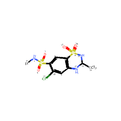 CCNS(=O)(=O)c1cc2c(cc1Cl)NC(C(Cl)(Cl)Cl)NS2(=O)=O